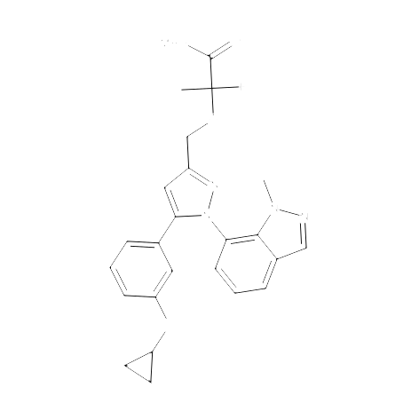 CCC(C)(OCc1cc(-c2cccc(OC3CC3)c2)n(-c2cccc3cnn(C)c23)n1)C(=O)OC